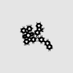 CC1(C)c2ccccc2-c2ccc(N(c3ccc(-c4ccc5ccccc5c4)cc3)c3ccc4c(c3)C3(c5ccccc5-4)c4ccccc4C(c4ccccc4)(c4ccccc4)c4ccccc43)cc21